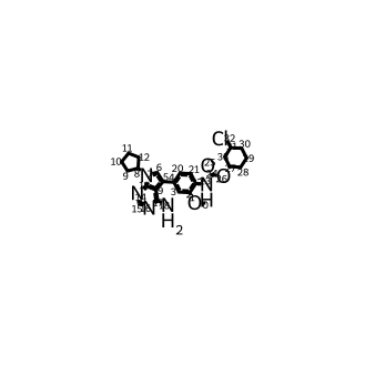 COc1cc(-c2cn(C3CCCC3)c3ncnc(N)c23)ccc1NC(=O)OC1CCCC(Cl)C1